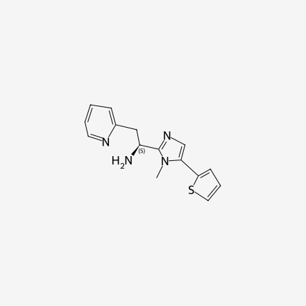 Cn1c(-c2cccs2)cnc1[C@@H](N)Cc1ccccn1